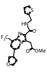 COC(=O)Cc1c(C(=O)NCc2cccs2)nc2c(C(F)(F)F)cc(-c3ccoc3)cn12